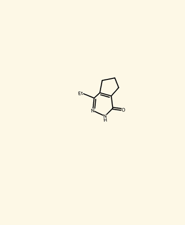 CCc1n[nH]c(=O)c2c1CCC2